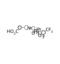 CC(C)[C@]1(C(=O)N2COc3c(F)cc(C(F)(F)F)cc3C2)CC[C@@H](N2CCC(c3cccc(C(=O)O)c3)CC2)C1